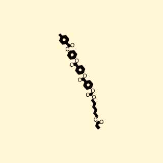 C=CC(=O)OCCCCCCOC(=O)Oc1ccc(C(=O)Oc2ccc(C(=O)Oc3ccc(OC(=O)c4ccc(C)cc4)cc3)cc2)cc1